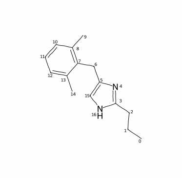 CCCc1nc(Cc2c(C)cccc2C)c[nH]1